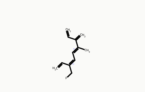 C=CC(=C)/C(C)=C/C=C(\C=C)CF